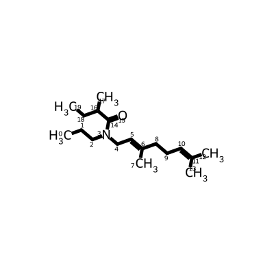 CCCN(C/C=C(\C)CCC=C(C)C)C(=O)C(C)CC